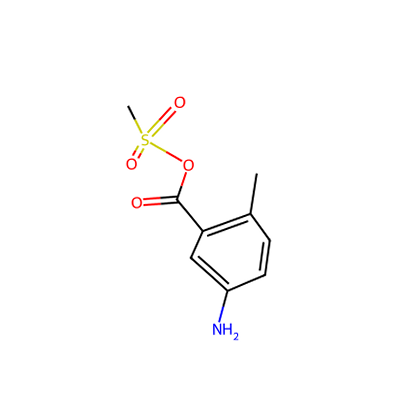 Cc1ccc(N)cc1C(=O)OS(C)(=O)=O